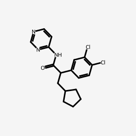 O=C(Nc1ccncn1)C(CC1CCCC1)c1ccc(Cl)c(Cl)c1